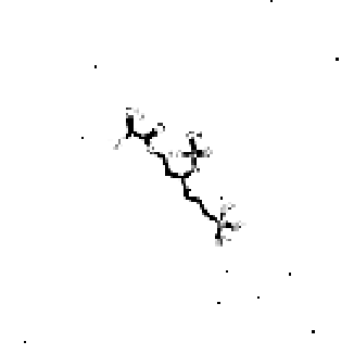 C=C(C)C(=O)OCCC(CCC[N+](CCC)(CCC)CCC)OP(=O)(O)O